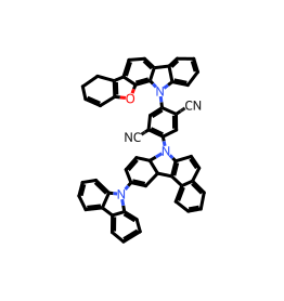 N#Cc1cc(-n2c3ccccc3c3ccc4c5c(oc4c32)C=CCC5)c(C#N)cc1N1c2ccc3ccccc3c2C2C=C(n3c4ccccc4c4ccccc43)C=CC21